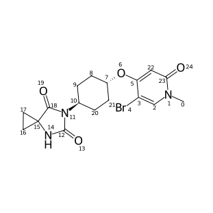 Cn1cc(Br)c(O[C@H]2CC[C@H](N3C(=O)NC4(CC4)C3=O)CC2)cc1=O